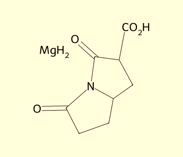 O=C(O)C1CC2CCC(=O)N2C1=O.[MgH2]